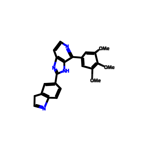 COc1cc(-c2nccc3nc(-c4ccc5c(c4)CC=N5)[nH]c23)cc(OC)c1OC